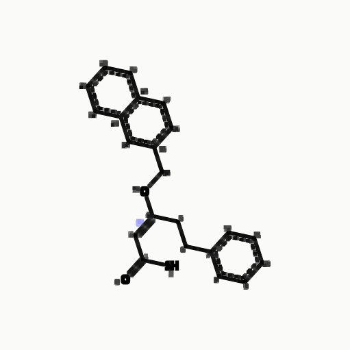 O=C(S)/C=C(\CCc1ccccc1)OCc1ccc2ccccc2c1